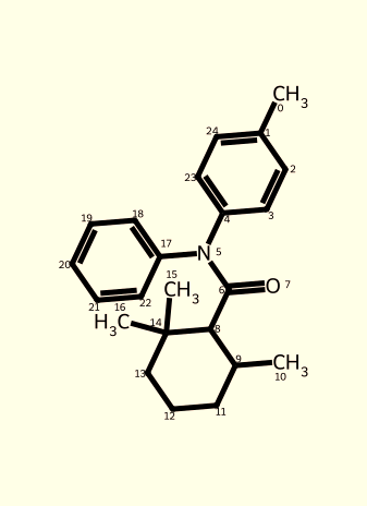 Cc1ccc(N(C(=O)C2C(C)CCCC2(C)C)c2ccccc2)cc1